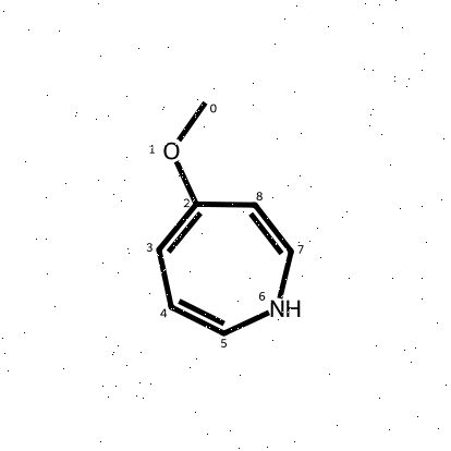 COC1=CC=CNC=C1